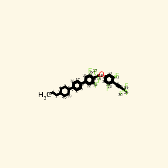 CCCC1CCC(c2ccc(-c3cc(F)c(C(F)(F)Oc4cc(F)c(C#CC(F)(F)F)c(F)c4)c(F)c3)cc2)CC1